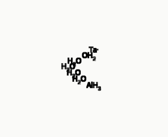 O.O.O.O.O.[AlH3].[Ta]